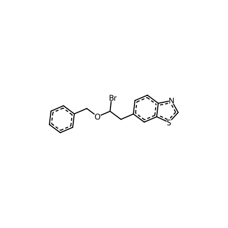 BrC(Cc1ccc2ncsc2c1)OCc1ccccc1